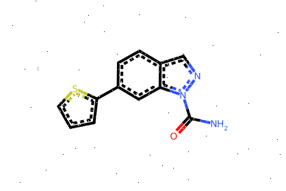 NC(=O)n1n[c]c2ccc(-c3cccs3)cc21